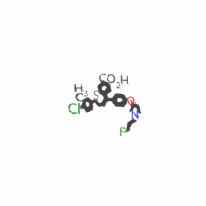 Cc1cc(C2CC=C(c3ccc(O[C@H]4CCN(CCCF)C4)cc3)c3ccc(C(=O)O)cc3S2)ccc1Cl